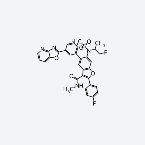 CNC(=O)c1c(-c2ccc(F)cc2)oc2cc(N(C(C)CF)S(C)(=O)=O)c(-c3cccc(-c4nc5ncccc5o4)c3)cc12